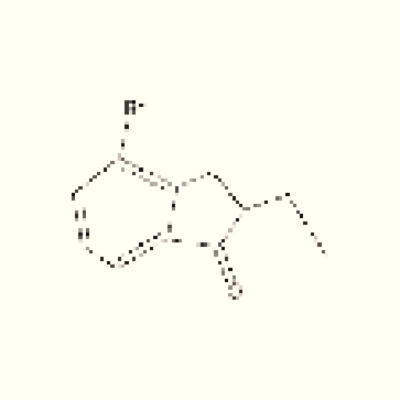 CCC1Cc2c(Br)cccc2C1=O